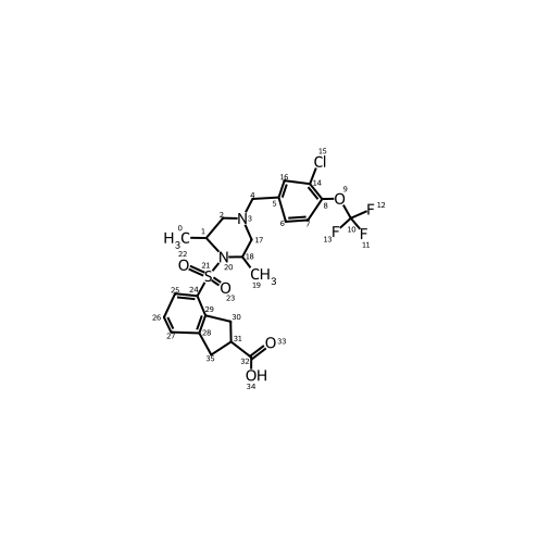 CC1CN(Cc2ccc(OC(F)(F)F)c(Cl)c2)CC(C)N1S(=O)(=O)c1cccc2c1CC(C(=O)O)C2